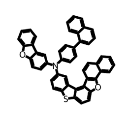 c1ccc2c(-c3ccc(N(c4ccc5oc6ccccc6c5c4)c4ccc5sc6ccc7oc8c9ccccc9ccc8c7c6c5c4)cc3)cccc2c1